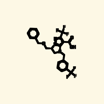 O=C(O)c1c(C(F)(F)F)nn2c1N(Cc1cccc(C(F)(F)F)c1)C[C@H]2COCc1ccccc1